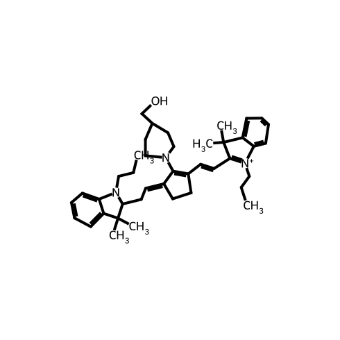 CCCN1c2ccccc2C(C)(C)C1C/C=C1\CCC(/C=C/C2=[N+](CCC)c3ccccc3C2(C)C)=C1N1CCC(CO)CC1